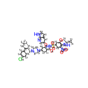 CC1(C)CCC(CN2CCN(c3ccc(C(=O)NS(=O)(=O)c4cc5c(c([N+](=O)[O-])c4)N[C@H](C4CC4)CO5)c(Oc4cnc5[nH]ccc5c4)c3)CC2)=C(c2ccc(Cl)cc2)C1